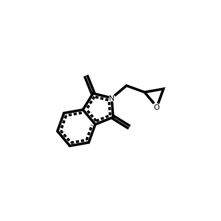 C=c1c2ccccc2c(=C)n1CC1CO1